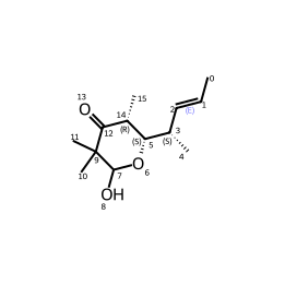 C/C=C/[C@H](C)[C@@H]1OC(O)C(C)(C)C(=O)[C@@H]1C